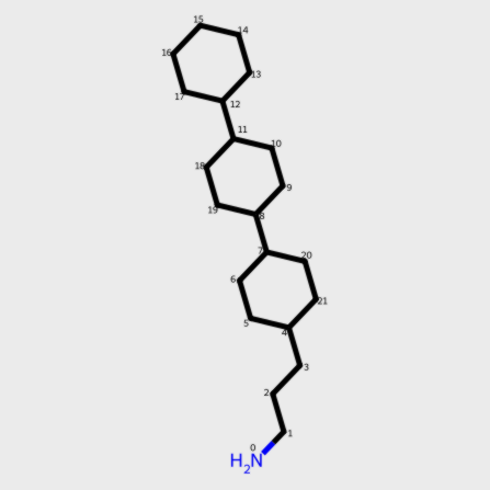 NCCCC1CCC(C2CCC(C3CCCCC3)CC2)CC1